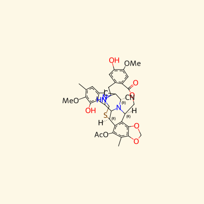 COc1cc2c(cc1O)CCNCS[C@@H]1c3c(OC(C)=O)c(C)c4c(c3[C@H](COC2=O)N2C1C1c3c(cc(C)c(OC)c3O)CC([C@@H]2C#N)N1C)OCO4